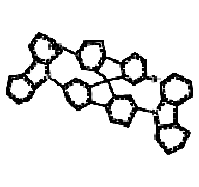 Bc1ccc2c(c1)C1(c3cc(B)ccc3-2)c2cc(-n3c4ccccc4c4ccccc43)ccc2-c2ccc(-n3c4ccccc4c4ccccc43)cc21